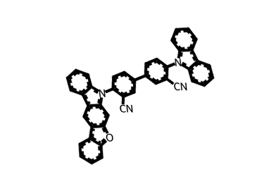 N#Cc1cc(-c2ccc(-n3c4ccccc4c4cc5c(cc43)oc3ccccc35)c(C#N)c2)ccc1-n1c2ccccc2c2ccccc21